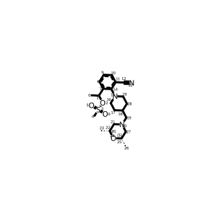 CC(OS(C)(=O)=O)c1cccc(C#N)c1N1CCC(CN2C[C@@H](C)O[C@@H](C)C2)CC1